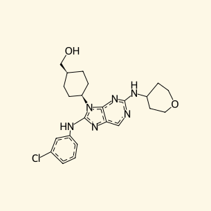 OC[C@H]1CC[C@@H](n2c(Nc3cccc(Cl)c3)nc3cnc(NC4CCOCC4)nc32)CC1